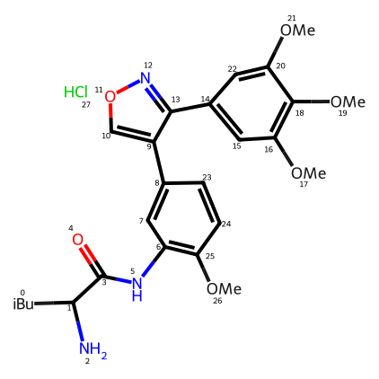 CCC(C)C(N)C(=O)Nc1cc(-c2conc2-c2cc(OC)c(OC)c(OC)c2)ccc1OC.Cl